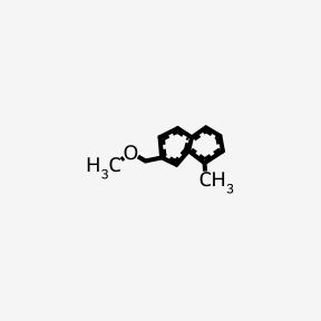 COCc1ccc2cccc(C)c2c1